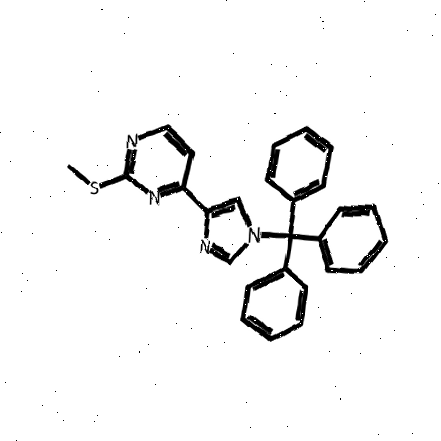 CSc1nccc(-c2cn(C(c3ccccc3)(c3ccccc3)c3ccccc3)cn2)n1